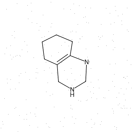 C1CCC2=C(C1)CNC[N]2